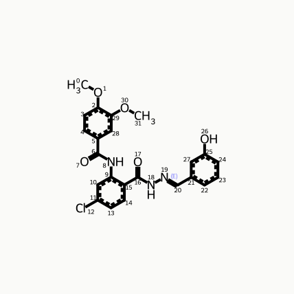 COc1ccc(C(=O)Nc2cc(Cl)ccc2C(=O)N/N=C/c2cccc(O)c2)cc1OC